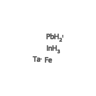 [Fe].[InH3].[PbH2].[Ta]